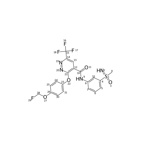 CS(=N)(=O)c1cccc(NC(=O)c2cc(C(F)(F)F)nnc2Oc2ccc(OCF)cc2)c1